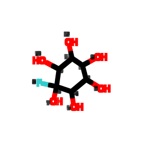 OC1C(O)C(O)C(O)(F)C(O)C1O